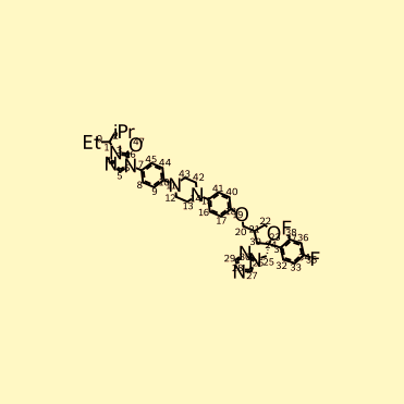 CCC(C(C)C)n1ncn(-c2ccc(N3CCN(c4ccc(OCC5CO[C@@](Cn6cncn6)(c6ccc(F)cc6F)C5)cc4)CC3)cc2)c1=O